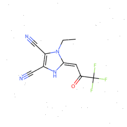 CCN1C(C#N)=C(C#N)N/C1=C\C(=O)C(F)(F)F